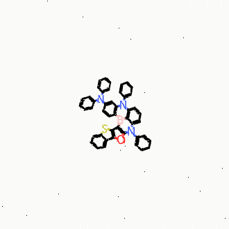 c1ccc(N(c2ccccc2)c2ccc3c(c2)N(c2ccccc2)c2cccc4c2B3c2c(oc3c2sc2ccccc23)N4c2ccccc2)cc1